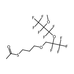 COC(F)(C(F)(F)F)C(F)(F)OC(F)(COCCCSC(C)=O)C(F)(F)F